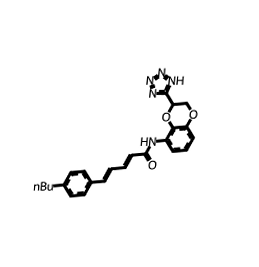 CCCCc1ccc(/C=C/C=C/C(=O)Nc2cccc3c2OC(c2nnn[nH]2)CO3)cc1